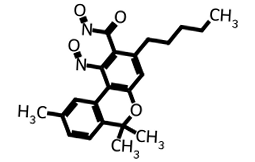 CCCCCc1cc2c(c(N=O)c1C(=O)N=O)-c1cc(C)ccc1C(C)(C)O2